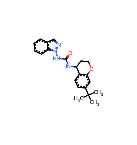 CC(C)(C)c1ccc2c(c1)OCCC2NC(=O)Nn1ncc2ccccc21